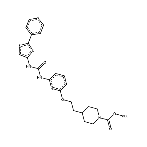 CCCCOC(=O)N1CCC(CCOc2cccc(NC(=O)Nc3csc(-c4ccncc4)n3)n2)CC1